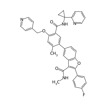 CNC(=O)c1c(-c2ccc(F)cc2)oc2ccc(-c3cc(C(=O)NC4(c5ccccn5)CC4)c(OCc4ccncc4)cc3C)cc12